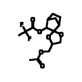 CC(=O)OCC1COC2(O1)C1CCC(C1)C2OC(=O)C(C)(F)F